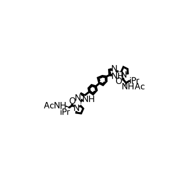 CC(=O)N[C@@H](C(=O)N1CCC[C@H]1c1ncc(-c2ccc(-c3ccc(-c4cnc([C@@H]5CCCN5C(=O)[C@H](NC(C)=O)C(C)C)[nH]4)cc3)cc2)[nH]1)C(C)C